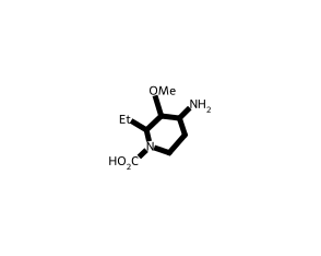 CCC1C(OC)C(N)CCN1C(=O)O